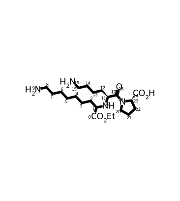 CCOC(=O)C(CCCCCCCN)N[C@@H](CCCCN)C(=O)N1CCC[C@H]1C(=O)O